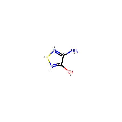 Nc1nsnc1O